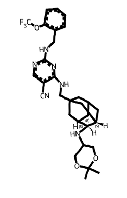 CC1(C)OCC(N[C@H]2[C@@H]3CC4C[C@H]2CC(CNc2nc(NCc5ccccc5OC(F)(F)F)ncc2C#N)(C4)C3)CO1